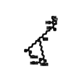 CCCCCCCCCCCOC(=O)CCCCCN(CCCCCCCC(=O)OC(CCCCCCCC)CCCCCCCC)CC(O)CCCCNC(=O)c1ccn(C)c1O